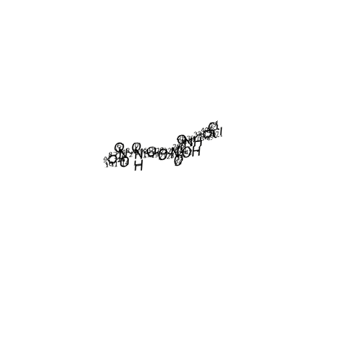 O=C(CCN1C(=O)c2ccccc2C1=O)NCCOCCOCCN1CC(C(=O)NCCCc2ccc(Cl)c(Cl)c2)=C(O)C1=O